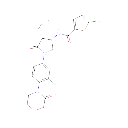 COC[C@H]1C(=O)N(c2ccc(N3CCOCC3=O)c(C)c2)C[C@@H]1NC(=O)c1ccc(Br)s1